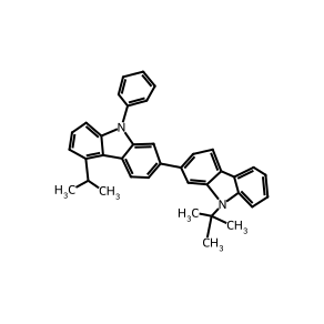 CC(C)c1cccc2c1c1ccc(-c3ccc4c5ccccc5n(C(C)(C)C)c4c3)cc1n2-c1ccccc1